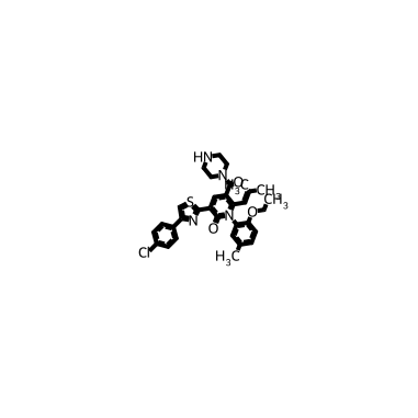 CCOc1ccc(C)cc1-n1c(C=C(C)C)c(C(=O)N2CCNCC2)cc(-c2nc(-c3ccc(Cl)cc3)cs2)c1=O